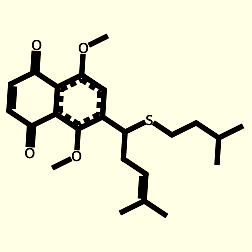 COc1cc(C(CC=C(C)C)SCCC(C)C)c(OC)c2c1C(=O)C=CC2=O